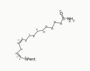 CCCCC/C=C\C/C=C\CCCCCCCCCC(N)=O